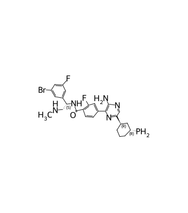 CNC[C@@H](NC(=O)c1ccc(-c2nc([C@@H]3CCC[C@@H](P)C3)cnc2N)cc1F)c1cc(F)cc(Br)c1